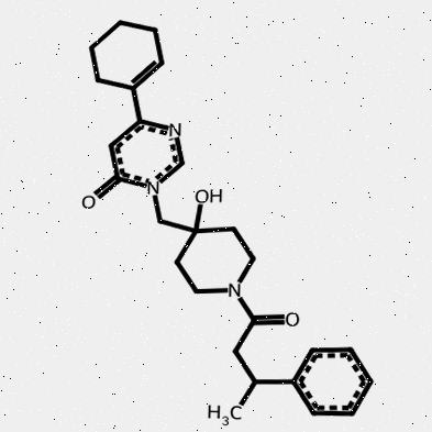 CC(CC(=O)N1CCC(O)(Cn2cnc(C3=CCCCC3)cc2=O)CC1)c1ccccc1